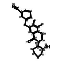 Cc1c(Cc2cccc(C#N)c2)cc2c(=O)n([C@@H]3CCCC[C@H]3O)cnc2c1C